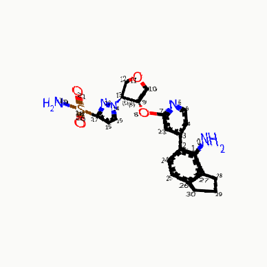 Nc1c(-c2ccnc(O[C@H]3COC[C@@H]3n3ccc(S(N)(=O)=O)n3)c2)ccc2c1CCC2